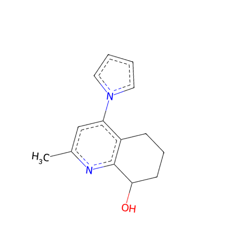 Cc1cc(-n2cccc2)c2c(n1)C(O)CCC2